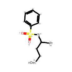 CCCCCCCCCCCC[CH]([Ti][S](=O)(=O)c1ccccc1)C(C)C